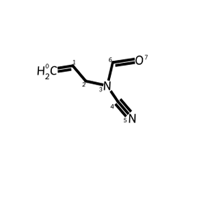 C=CCN(C#N)C=O